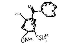 COc1cc(O)c(C(=O)c2ccccc2)cc1C(=O)O